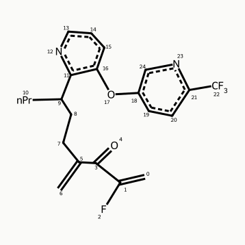 C=C(F)C(=O)C(=C)CCC(CCC)c1ncccc1Oc1ccc(C(F)(F)F)nc1